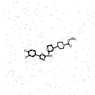 CC(C)(C)OC(=O)N1CCC(c2ccnc(Nc3ncc(-c4ccc(F)c(F)c4)s3)c2)CC1